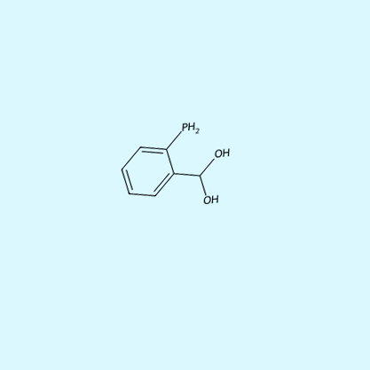 OC(O)c1ccccc1P